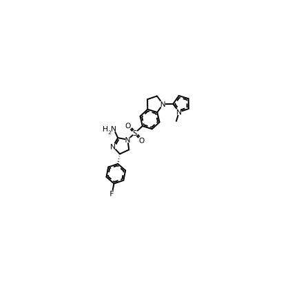 Cn1cccc1N1CCc2cc(S(=O)(=O)N3C[C@H](c4ccc(F)cc4)N=C3N)ccc21